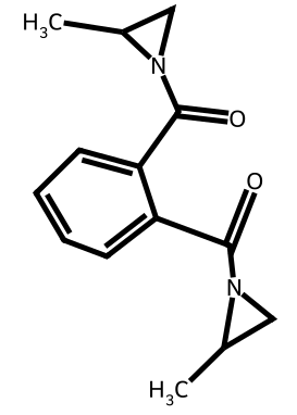 CC1CN1C(=O)c1ccccc1C(=O)N1CC1C